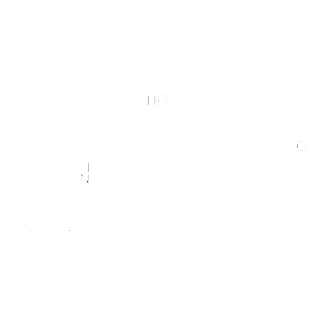 O=C1Cc2ccc(-c3cc(Cl)ccc3O)cc2N1